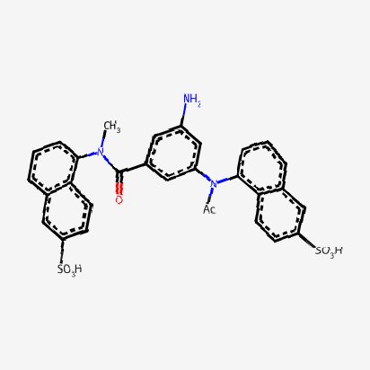 CC(=O)N(c1cc(N)cc(C(=O)N(C)c2cccc3cc(S(=O)(=O)O)ccc23)c1)c1cccc2cc(S(=O)(=O)O)ccc12